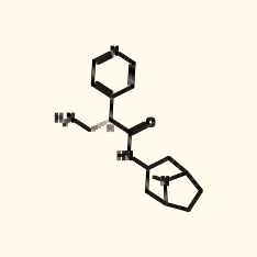 CN1C2CCC1CC(NC(=O)[C@H](CN)c1ccncc1)C2